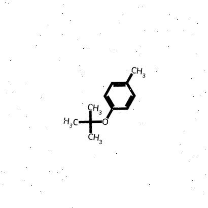 Cc1ccc(OC(C)(C)C)cc1